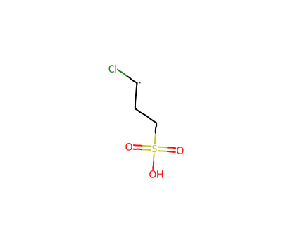 O=S(=O)(O)CC[CH]Cl